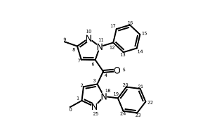 Cc1cc(C(=O)c2cc(C)nn2-c2ccccc2)n(-c2ccccc2)n1